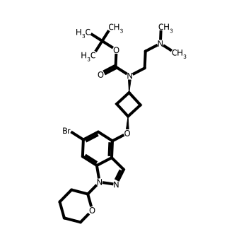 CN(C)CCN(C(=O)OC(C)(C)C)[C@H]1C[C@@H](Oc2cc(Br)cc3c2cnn3C2CCCCO2)C1